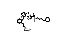 O=C(NCCCCC1CCCCC1)c1coc([C@H]2[C@@H](Cc3ccccc3CCCS(=O)(=O)O)[C@@H]3CC[C@H]2O3)n1